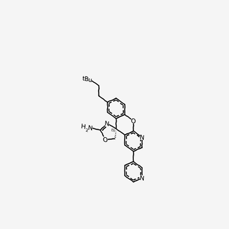 CC(C)(C)CCc1ccc2c(c1)[C@@]1(COC(N)=N1)c1cc(-c3cccnc3)cnc1O2